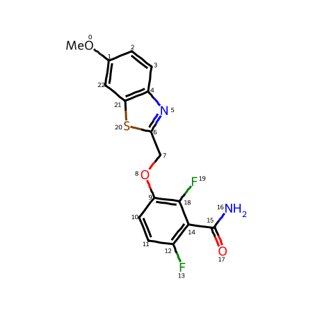 COc1ccc2nc(COc3ccc(F)c(C(N)=O)c3F)sc2c1